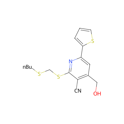 CCCCSCSc1nc(-c2cccs2)cc(CO)c1C#N